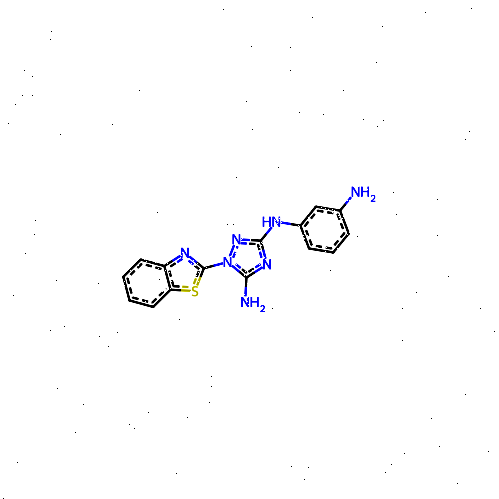 Nc1cccc(Nc2nc(N)n(-c3nc4ccccc4s3)n2)c1